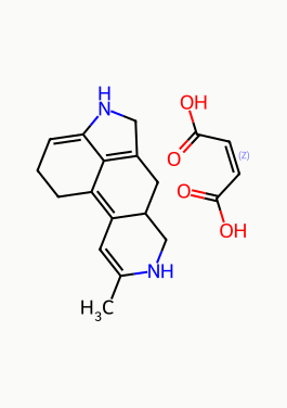 CC1=CC2=C3CCC=C4NCC(=C43)CC2CN1.O=C(O)/C=C\C(=O)O